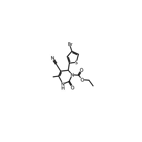 CCOC(=O)N1C(=O)NC(C)=C(C#N)C1c1cc(Br)cs1